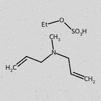 C=CCN(C)CC=C.CCOS(=O)(=O)O